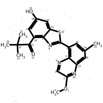 COc1cnc2c(-c3nc4c(C(=O)C(C)(C)C)cc(O)cc4s3)cc(C)cc2n1